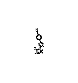 C[N+]1=CC(C)(C)N(c2nc(-c3ccc(C#N)cc3)cs2)C1=O